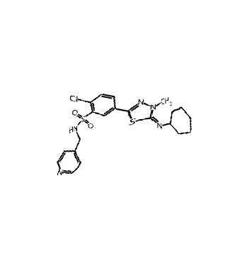 Cn1nc(-c2ccc(Cl)c(S(=O)(=O)NCc3ccncc3)c2)s/c1=N/C1CCCCC1